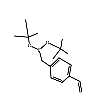 C=Cc1ccc(CB(OC(C)(C)C)OC(C)(C)C)cc1